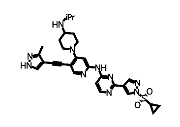 Cc1n[nH]cc1C#Cc1cnc(Nc2ccnc(-c3cnn(S(=O)(=O)C4CC4)c3)n2)cc1N1CCC(NC(C)C)CC1